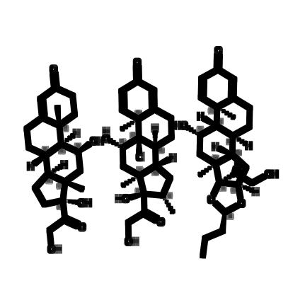 CCC[C@@H]1O[C@@H]2C[C@H]3[C@@H]4CCC5=CC(=O)C=C[C@]5(C)[C@H]4[C@@H](O)C[C@]3(C)[C@]2(C(=O)CO)O1.C[C@H]1C[C@H]2[C@@H]3CCC4=CC(=O)C=C[C@]4(C)[C@@]3(Cl)[C@@H](O)C[C@]2(C)[C@@]1(O)C(=O)CO.C[C@]12CCC(=O)C=C1CC[C@@H]1[C@@H]2[C@@H](O)C[C@@]2(C)[C@H]1CC[C@]2(O)C(=O)CO